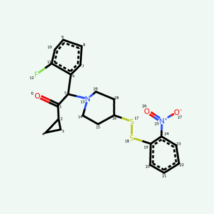 O=C(C1CC1)C(c1ccccc1F)N1CCC(SSc2ccccc2[N+](=O)[O-])CC1